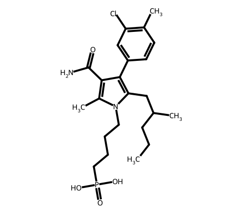 CCCC(C)Cc1c(-c2ccc(C)c(Cl)c2)c(C(N)=O)c(C)n1CCCCP(=O)(O)O